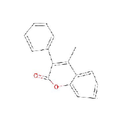 Cc1c(-c2ccccc2)c(=O)oc2c[c]ccc12